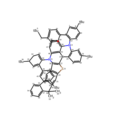 CC(C)(C)Cc1ccc(-c2cc(C(C)(C)C)ccc2N2c3cc(C(C)(C)C)ccc3B3c4sc5cc6c(cc5c4N(C4=CCC(C(C)(C)C)C=C4c4ccc(C(C)(C)C)cc4)c4cccc2c43)-c2ccccc2C6(C)C)cc1